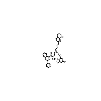 O=C(O)C(CCN(CCCCc1ccc2c(n1)NCCC2)CCOc1cc(F)cc(F)c1)Nc1nc(-c2cccnc2)nc2ccccc12